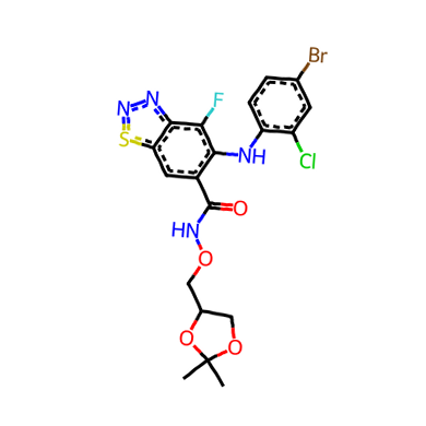 CC1(C)OCC(CONC(=O)c2cc3snnc3c(F)c2Nc2ccc(Br)cc2Cl)O1